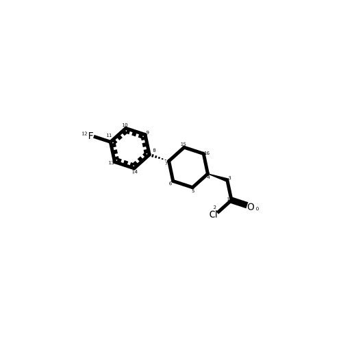 O=C(Cl)C[C@H]1CC[C@H](c2ccc(F)cc2)CC1